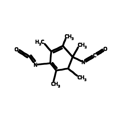 CC1=C(C)C(C)(N=C=O)C(C)C(C)=C1N=C=O